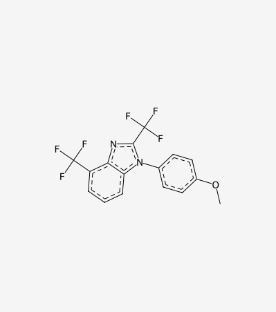 COc1ccc(-n2c(C(F)(F)F)nc3c(C(F)(F)F)cccc32)cc1